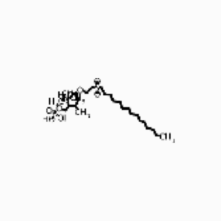 CCCCCCCCCCCCCCCS(=O)(=O)CCOC(C)CC(C)C(COP(=O)(O)O)[N+](C)(C)C